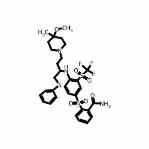 COC1(C)CCN(CCC(CSc2ccccc2)Nc2ccc(S(=O)(=O)c3ccccc3C(N)=O)cc2S(=O)(=O)C(F)(F)F)CC1